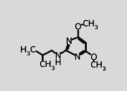 COc1cc(OC)nc(NCC(C)C)n1